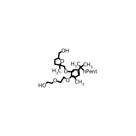 CCCCCC(C)(C)c1cc(C)c(OCCOCCO)c(OCC2(C)CCC(CO)O2)c1